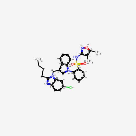 CCCCc1nc2ccc(Cl)cc2n1Cc1cn(-c2ccccc2S(=O)(=O)Nc2noc(C)c2C)c2ccccc12